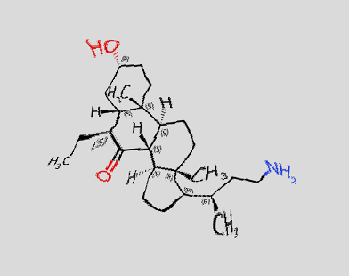 CC[C@@H]1C(=O)[C@@H]2[C@H](CC[C@]3(C)[C@@H]([C@H](C)CCN)CC[C@@H]23)[C@@]2(C)CC[C@@H](O)C[C@@H]12